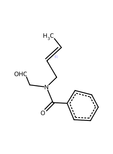 C/C=C/CN(CC=O)C(=O)c1ccccc1